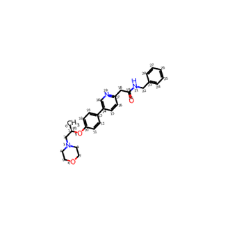 C[C@H](CN1CCOCC1)Oc1ccc(-c2ccc(CC(=O)NCc3ccccc3)nc2)cc1